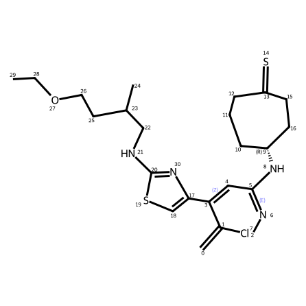 C=C(Cl)/C(=C\C(=N/C)N[C@@H]1CCCC(=S)CC1)c1csc(NCC(C)CCOCC)n1